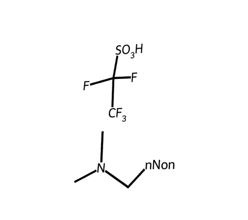 CCCCCCCCCCN(C)C.O=S(=O)(O)C(F)(F)C(F)(F)F